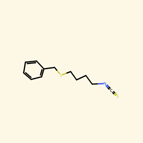 S=C=NCCCCSCc1ccccc1